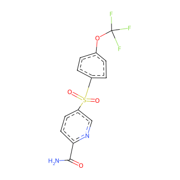 NC(=O)c1ccc(S(=O)(=O)c2ccc(OC(F)(F)F)cc2)cn1